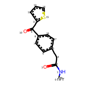 CCCNC(=O)Cc1ccc(C(=O)c2cccs2)cc1